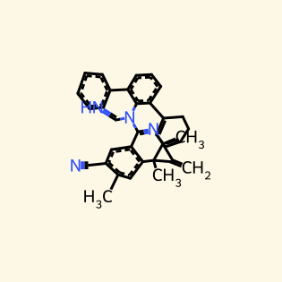 C=C1C2(C)N=C(N(C=N)c3c(C4=CC=CCC4)cccc3-c3ccccc3)c3cc(C#N)c(C)cc3C12C